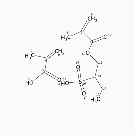 C=C(C)C(=O)O.C=C(C)C(=O)OCC(CC)S(=O)(=O)O